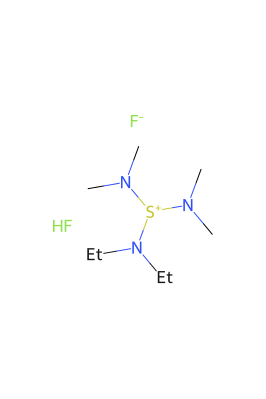 CCN(CC)[S+](N(C)C)N(C)C.F.[F-]